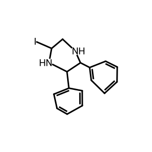 IC1CNC(c2ccccc2)C(c2ccccc2)N1